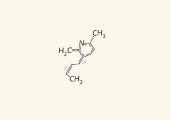 C=c1nc(C)cc/c1=C/C=C\C